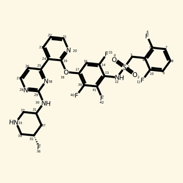 O=S(=O)(Cc1c(F)cccc1F)Nc1c(F)cc(Oc2ncccc2-c2ccnc(NC3CNC[C@@H](F)C3)n2)c(F)c1F